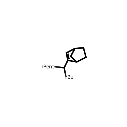 CCCCCC(CCCC)C1=CC2CCC1C2